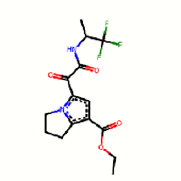 CCOC(=O)c1cc(C(=O)C(=O)NC(C)C(F)(F)F)n2c1CCC2